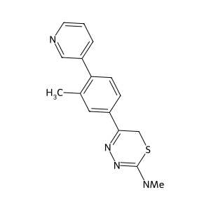 CNC1=NN=C(c2ccc(-c3cccnc3)c(C)c2)CS1